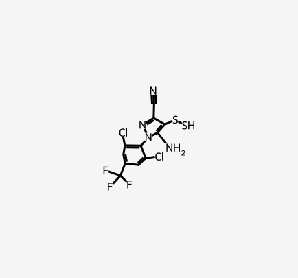 N#Cc1nn(-c2c(Cl)cc(C(F)(F)F)cc2Cl)c(N)c1SS